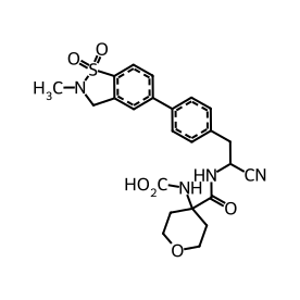 CN1Cc2cc(-c3ccc(CC(C#N)NC(=O)C4(NC(=O)O)CCOCC4)cc3)ccc2S1(=O)=O